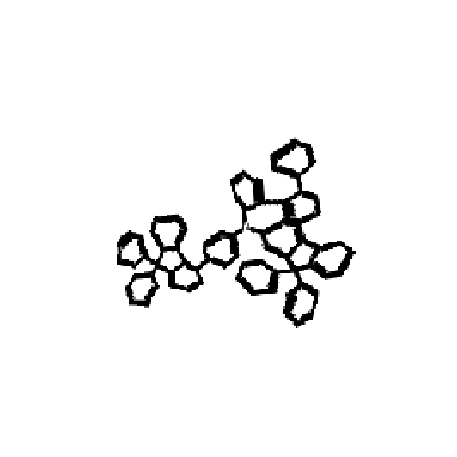 c1ccc(-c2ccccc2-c2ccccc2N(c2ccc(-c3cccc4c3-c3ccccc3C4(c3ccccc3)c3ccccc3)cc2)c2ccc3c(c2)C(c2ccccc2)(c2ccccc2)c2ccccc2-3)cc1